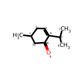 CC1CC=C(C(C)C)C(=O)C1